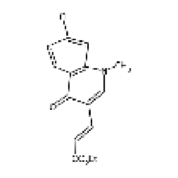 CCOC(=O)C=Cc1cn(C)c2cc(Cl)ccc2c1=O